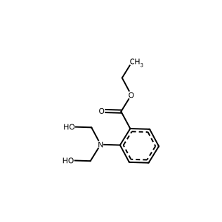 CCOC(=O)c1ccccc1N(CO)CO